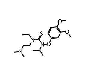 CCN(CCN(C)C)C(=S)N(Oc1ccc(OC)c(OC)c1)C(C)C